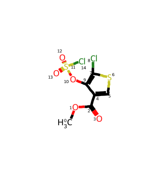 COC(=O)c1csc(Cl)c1OS(=O)(=O)Cl